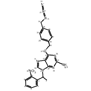 CC(c1ccccc1[N+](=O)[O-])n1cnc2c(OCc3ccc(CN=[N+]=[N-])cc3)nc(N)nc21